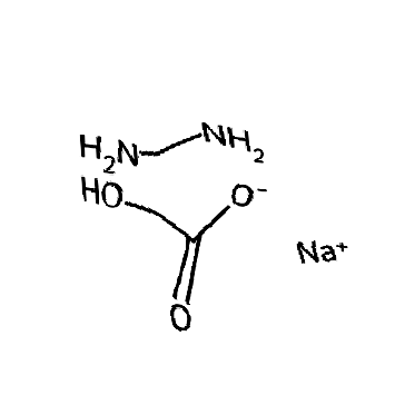 NN.O=C([O-])O.[Na+]